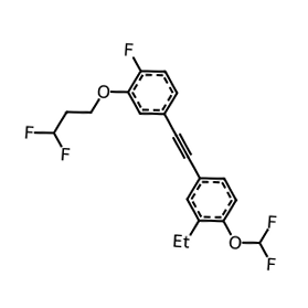 CCc1cc(C#Cc2ccc(F)c(OCCC(F)F)c2)ccc1OC(F)F